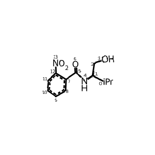 CC(C)C(CO)NC(=O)c1ccccc1[N+](=O)[O-]